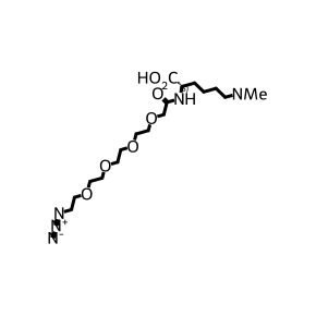 CNCCCC[C@H](NC(=O)COCCOCCOCCOCCN=[N+]=[N-])C(=O)O